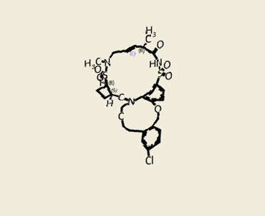 C[C@@H]1/C=C/CN(C)S(=O)(=O)[C@@H]2CC[C@H]2CN2CCCCc3cc(Cl)ccc3COc3ccc(cc32)S(=O)(=O)NC1=O